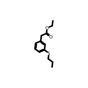 CCCSc1cccc(CC(=O)OCC)c1